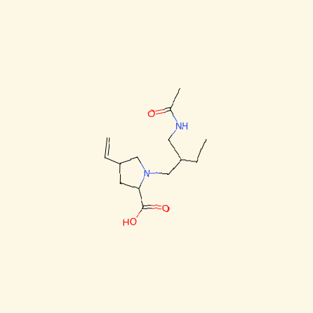 C=CC1CC(C(=O)O)N(CC(CC)CNC(C)=O)C1